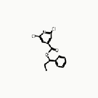 CCC(OC(=O)c1cc(Cl)nc(Cl)c1)c1ccccc1